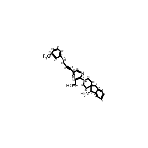 N[C@@H]1c2ccccc2CC12CCN(c1ncc(C#CCOc3cccc(C(F)(F)F)c3)nc1CO)CC2